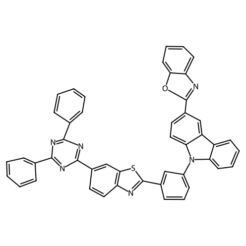 c1ccc(-c2nc(-c3ccccc3)nc(-c3ccc4nc(-c5cccc(-n6c7ccccc7c7cc(-c8nc9ccccc9o8)ccc76)c5)sc4c3)n2)cc1